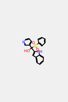 O=S(=O)(c1ccccc1)C(O)(c1cccnc1)c1cc2ccccc2[nH]1